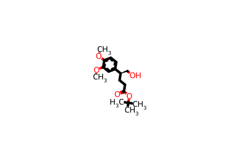 COc1ccc([C@@H](CO)CCC(=O)OC(C)(C)C)cc1OC